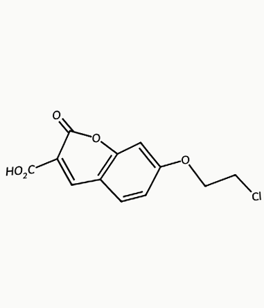 O=C(O)c1cc2ccc(OCCCl)cc2oc1=O